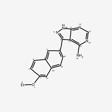 CCOc1ccc2cc(-c3n[nH]c4ncnc(N)c34)ccc2c1